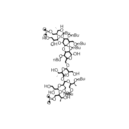 CCCCOCC1O[C@H](OC2[C@H](OCCCC)C(CO[C@@H](OC(CO[C@@H](OC(COCCCC)[C@H](C)OCCCC)[C@@H](COCCCC)O[C@@H](OC(COP(=O)=O)[C@H](C)O)[C@H](O)CO)[C@H](C)O)[C@H](O)CO)O[C@@H](O)[C@@H]2OCCCC)[C@H](O[C@@H](OC(COP(=O)=O)[C@H](C)O)[C@H](O)CO)C(OCCCC)[C@@H]1OCCCC